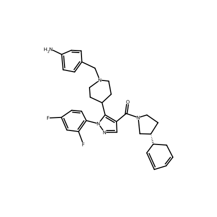 Nc1ccc(CN2CCC(c3c(C(=O)N4CC[C@H](C5C=CC=CC5)C4)cnn3-c3ccc(F)cc3F)CC2)cc1